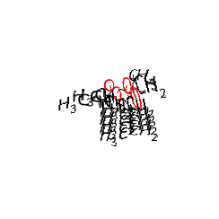 C=C(C)C(=O)OCCOC(=O)C(=C)C.C=CC.C=CC.C=CC.C=CC.C=CC.C=CC